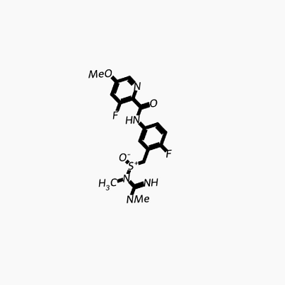 CNC(=N)N(C)[S+]([O-])Cc1cc(NC(=O)c2ncc(OC)cc2F)ccc1F